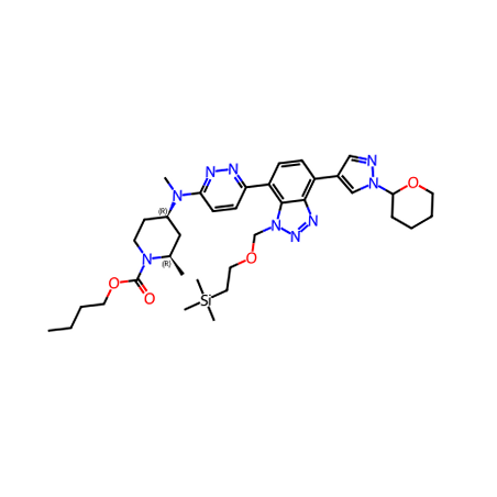 CCCCOC(=O)N1CC[C@@H](N(C)c2ccc(-c3ccc(-c4cnn(C5CCCCO5)c4)c4nnn(COCC[Si](C)(C)C)c34)nn2)C[C@H]1C